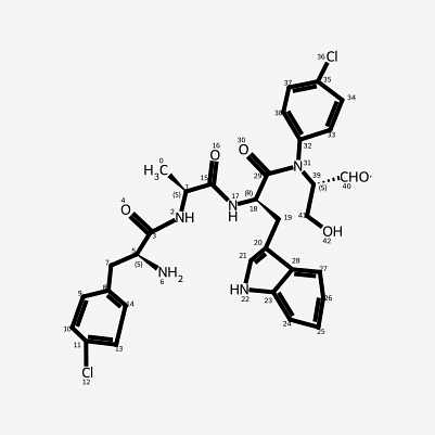 C[C@H](NC(=O)[C@@H](N)Cc1ccc(Cl)cc1)C(=O)N[C@H](Cc1c[nH]c2ccccc12)C(=O)N(c1ccc(Cl)cc1)[C@H]([C]=O)CO